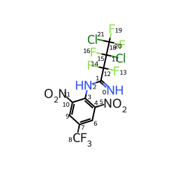 N=C(Nc1c([N+](=O)[O-])cc(C(F)(F)F)cc1[N+](=O)[O-])C(F)(F)C(F)(Cl)C(F)(F)Cl